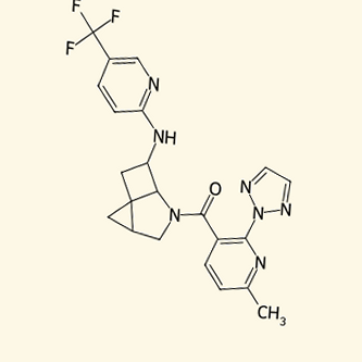 Cc1ccc(C(=O)N2CC3CC34CC(Nc3ccc(C(F)(F)F)cn3)C24)c(-n2nccn2)n1